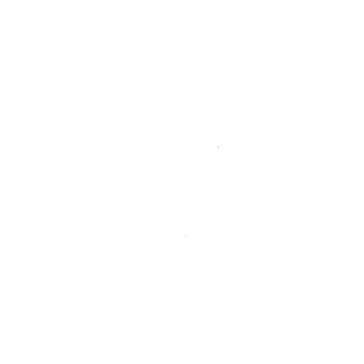 CC(C)(C)c1c(Oc2ccccc2)cccc1Oc1ccccc1